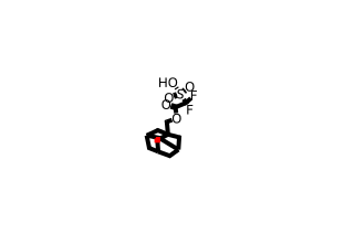 O=C(OCC12CC3CC(CC(C3)C1)C2)C(F)(F)S(=O)(=O)O